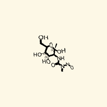 CN(N=O)C(=O)NC1[C@H](O)[C@H](O)C(CO)O[C@]1(C)O